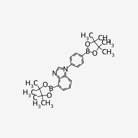 CC1(C)OB(c2ccc(-n3cnc4c(B5OC(C)(C)C(C)(C)O5)cccc43)cc2)OC1(C)C